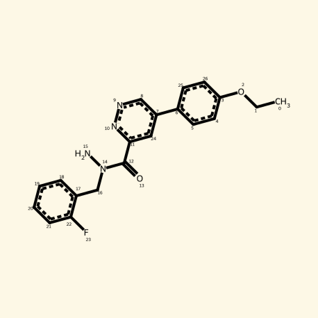 CCOc1ccc(-c2cnnc(C(=O)N(N)Cc3ccccc3F)c2)cc1